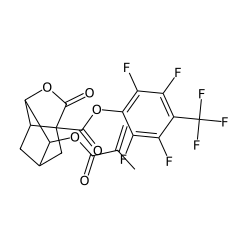 C=C(C)C(=O)OC1C2CC3C1OC(=O)C3(C(=O)Oc1c(F)c(F)c(C(F)(F)F)c(F)c1F)C2